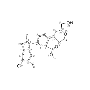 COC(=O)c1cc(-c2c(C)sc3cc(Cl)c(F)cc23)ccc1N1CCO[C@H](CO)C1